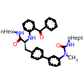 CCCCCCCNC(=O)N(C)c1cccc(-c2ccc(C[C@H](Nc3ccccc3C(=O)c3ccccc3)C(=O)NCCCCCC)cc2)c1